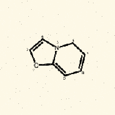 [C]1=C2OC=CN2CC=C1